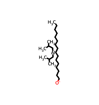 CC(C)[CH2][Al+][CH2]C(C)C.CCCCCCCCCCCCCCCC[O-]